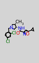 C[C@@H]1CN(Cc2ccc(Cl)cc2Cl)C[C@H]1NC(=O)c1cc(C2CC2)on1